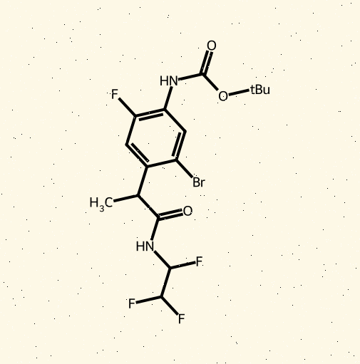 CC(C(=O)NC(F)C(F)F)c1cc(F)c(NC(=O)OC(C)(C)C)cc1Br